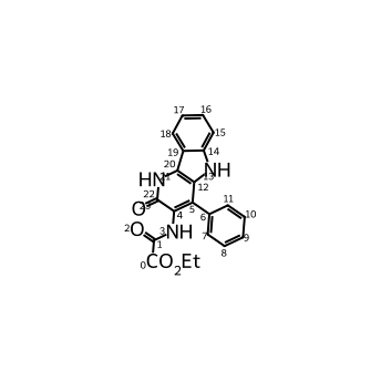 CCOC(=O)C(=O)Nc1c(-c2ccccc2)c2[nH]c3ccccc3c2[nH]c1=O